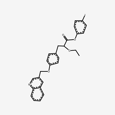 CCOC(Cc1ccc(OCc2cnc3ccccc3c2)cc1)C(=O)Oc1ccc(I)cc1